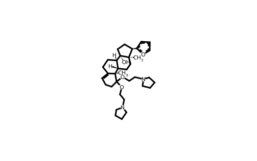 C[C@@]12C(=CCCC1(OCCN1CCCC1)OCCN1CCCC1)CC[C@@H]1[C@@H]2CC[C@]2(C)[C@H](c3ccco3)CC[C@]12O